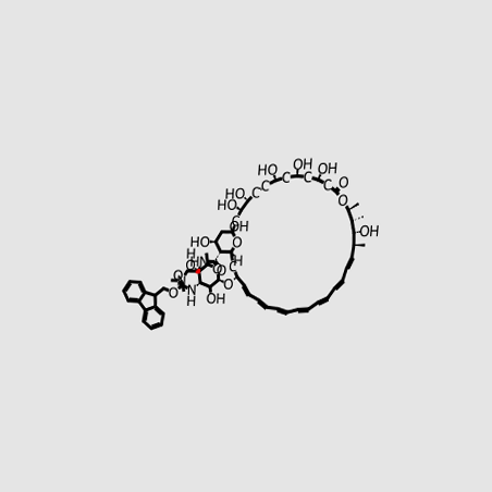 CC1O[C@@H](O[C@H]2/C=C/C=C/C=C/C=C/C=C/C=C/C=C/[C@H](C)[C@@H](O)[C@@H](C)[C@H](C)OC(=O)C[C@H](O)C[C@H](O)C[C@H](O)CC[C@@H](O)[C@H](O)C[C@]3(O)C[C@H](O)[C@@H](C(=O)NCCN(C)C)[C@H](C2)O3)C(O)[C@H](NC(=O)OCC2c3ccccc3-c3ccccc32)[C@@H]1O